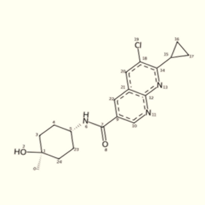 C[C@]1(O)CC[C@H](NC(=O)c2cnc3nc(C4CC4)c(Cl)cc3c2)CC1